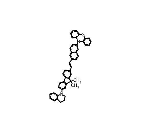 CC1(C)c2cc(/C=C/c3ccc4cc(N5c6ccccc6Sc6ccccc65)ccc4c3)ccc2-c2ccc(N3CCCc4ccccc43)cc21